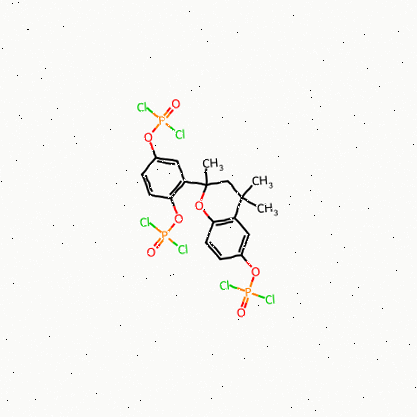 CC1(C)CC(C)(c2cc(OP(=O)(Cl)Cl)ccc2OP(=O)(Cl)Cl)Oc2ccc(OP(=O)(Cl)Cl)cc21